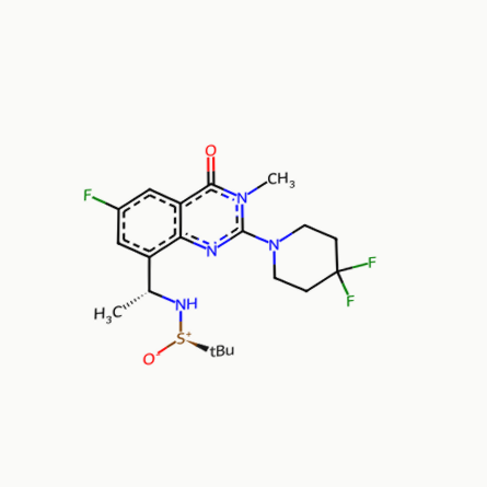 C[C@@H](N[S@+]([O-])C(C)(C)C)c1cc(F)cc2c(=O)n(C)c(N3CCC(F)(F)CC3)nc12